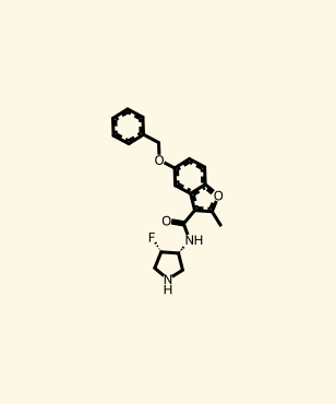 Cc1oc2ccc(OCc3ccccc3)cc2c1C(=O)N[C@@H]1CNC[C@@H]1F